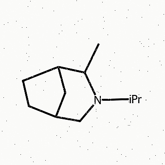 CC(C)N1CC2CCC(C2)C1C